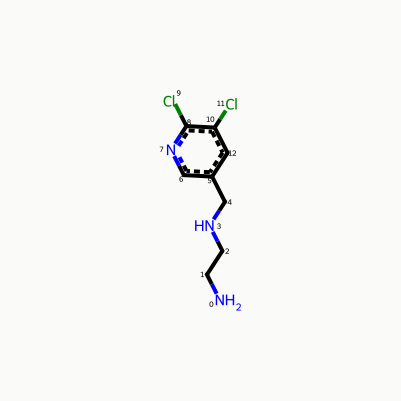 NCCNCc1cnc(Cl)c(Cl)c1